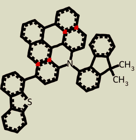 CC1(C)c2ccccc2-c2c(N(c3ccc(-c4cccc5c4sc4ccccc45)cc3)c3ccccc3-c3cccc4cccc(-c5ccccc5)c34)cccc21